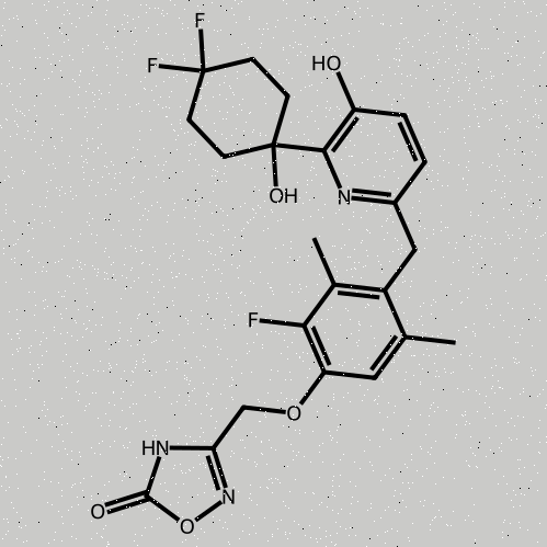 Cc1cc(OCc2noc(=O)[nH]2)c(F)c(C)c1Cc1ccc(O)c(C2(O)CCC(F)(F)CC2)n1